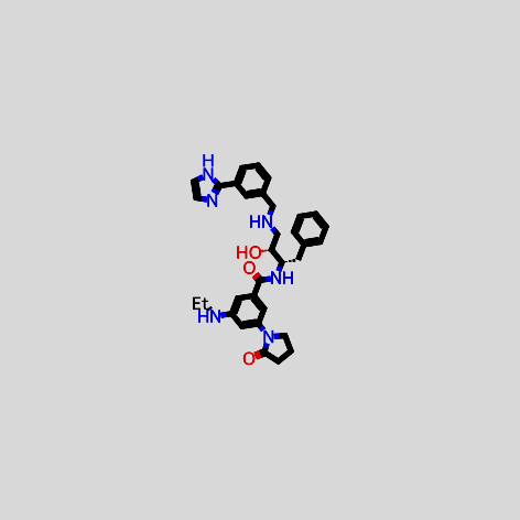 CCNc1cc(C(=O)N[C@@H](Cc2ccccc2)[C@H](O)CNCc2cccc(-c3ncc[nH]3)c2)cc(N2CCCC2=O)c1